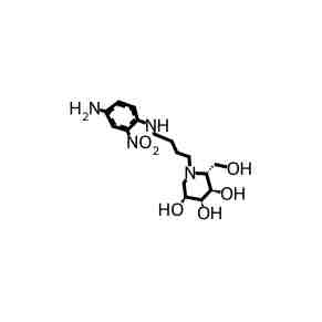 Nc1ccc(NCCCCN2C[C@H](O)[C@@H](O)[C@H](O)[C@H]2CO)c([N+](=O)[O-])c1